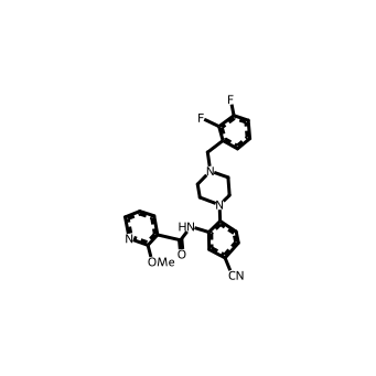 COc1ncccc1C(=O)Nc1cc(C#N)ccc1N1CCN(Cc2cccc(F)c2F)CC1